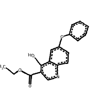 CCOC(=O)c1cnc2ccc(Oc3ccccc3)cc2c1O